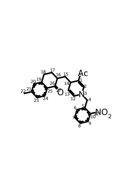 CC(=O)C1=CN(Cc2ccccc2[N+](=O)[O-])C=CC1CC1CCc2cc(C)ccc2C1=O